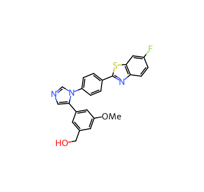 COc1cc(CO)cc(-c2cncn2-c2ccc(-c3nc4ccc(F)cc4s3)cc2)c1